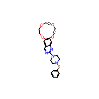 c1ccc(SN2CCN(c3ncc4cc5c(cc4n3)OCCOCCOCCO5)CC2)cc1